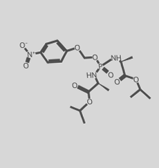 CC(C)OC(=O)[C@H](C)NP(=O)(N[C@@H](C)C(=O)OC(C)C)OCOc1ccc([N+](=O)[O-])cc1